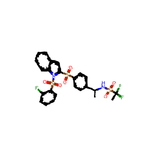 C[C@H](NS(=O)(=O)C(C)(F)F)c1ccc(S(=O)(=O)c2cc3ccccc3n2S(=O)(=O)c2ccccc2F)cc1